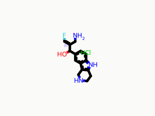 Cl.NC/C(=C\F)C(O)c1ccc2[nH]c3c(c2c1)CNCC3